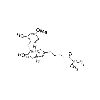 COc1ccc(C[C@@H]2[C@H]3CC(CCCCC(=O)N(C)C)=C[C@H]3C[C@H]2O)c(O)c1